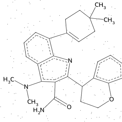 CN(C)c1c(C(N)=O)c(C2CCOc3ccccc32)nc2c(C3=CCC(C)(C)CC3)cccc12